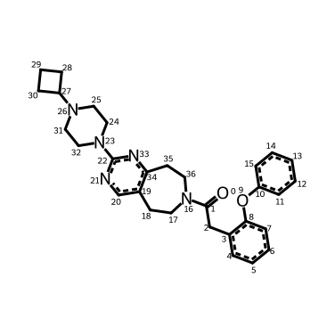 O=C(Cc1ccccc1Oc1ccccc1)N1CCc2cnc(N3CCN(C4CCC4)CC3)nc2CC1